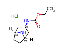 Cl.O=C(N[C@H]1C[C@H]2CC[C@@H](C1)N2)OCC(Cl)(Cl)Cl